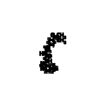 CN(C)C(=O)[C@H]1CC[C@@H](N2CC(NC(=O)CNc3ncnc4ccc(C(F)(F)F)cc34)C2)CC1